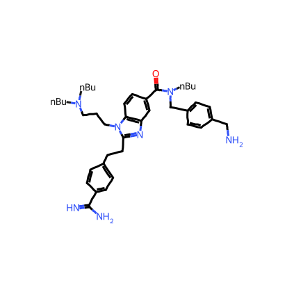 CCCCN(CCCC)CCCn1c(CCc2ccc(C(=N)N)cc2)nc2cc(C(=O)N(CCCC)Cc3ccc(CN)cc3)ccc21